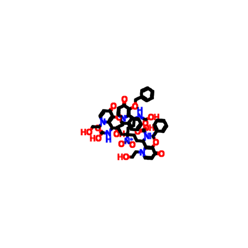 O=C(O)NC(CCC(CCC(NC(=O)O)c1c(OCc2ccccc2)c(=O)ccn1CCO)(CCC(NC(=O)O)c1c(OCc2ccccc2)c(=O)ccn1CCO)[N+](=O)[O-])c1c(OCc2ccccc2)c(=O)ccn1CCO